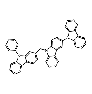 c1ccc(-n2c3ccccc3c3ccc(Cn4c5ccccc5c5cc(-n6c7ccccc7c7ccccc76)ccc54)cc32)cc1